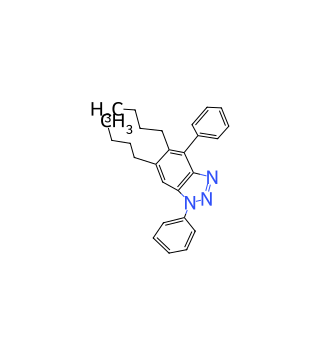 CCCCc1cc2c(nnn2-c2ccccc2)c(-c2ccccc2)c1CCCC